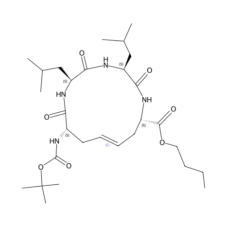 CCCCOC(=O)[C@@H]1C/C=C/C[C@H](NC(=O)OC(C)(C)C)C(=O)N[C@@H](CC(C)C)C(=O)N[C@@H](CC(C)C)C(=O)N1